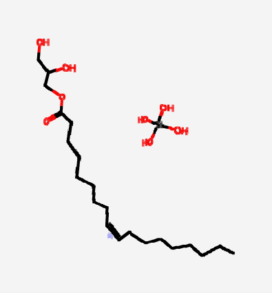 CCCCCCCC/C=C\CCCCCCCC(=O)OCC(O)CO.O[Si](O)(O)O